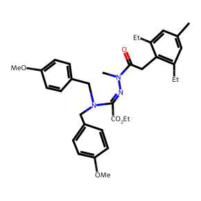 CCOC(=O)C(=NN(C)C(=O)Cc1c(CC)cc(C)cc1CC)N(Cc1ccc(OC)cc1)Cc1ccc(OC)cc1